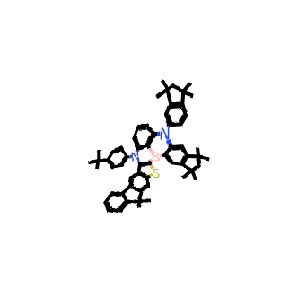 CC(C)(C)c1ccc(N2c3cccc4c3B(c3cc5c(cc3N4c3ccc4c(c3)C(C)(C)CC4(C)C)C(C)(C)CC5(C)C)c3sc4cc5c(cc4c32)-c2ccccc2C5(C)C)cc1